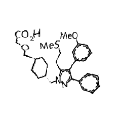 COc1cccc(-c2c(-c3ccccc3)nn(C[C@H]3CC[C@H](COCC(=O)O)CC3)c2CCSC)c1